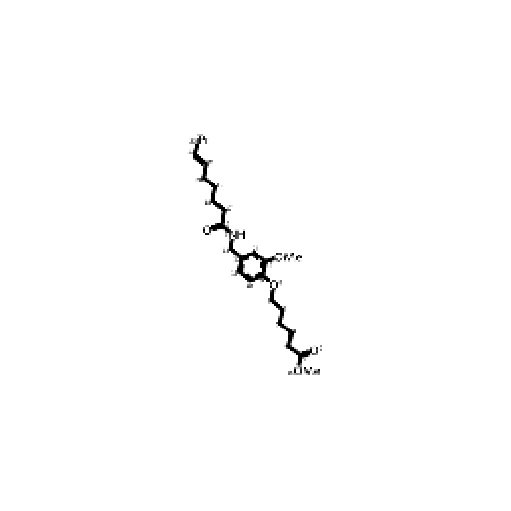 COC(=O)CCCCCOc1ccc(CNC(=O)CCCC/C=C/C(C)C)cc1OC